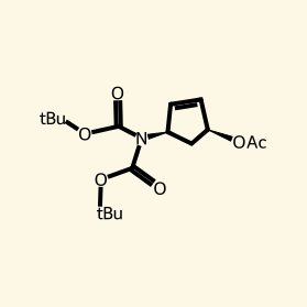 CC(=O)O[C@@H]1C=C[C@H](N(C(=O)OC(C)(C)C)C(=O)OC(C)(C)C)C1